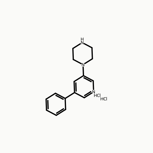 Cl.Cl.c1ccc(-c2cncc(N3CCNCC3)c2)cc1